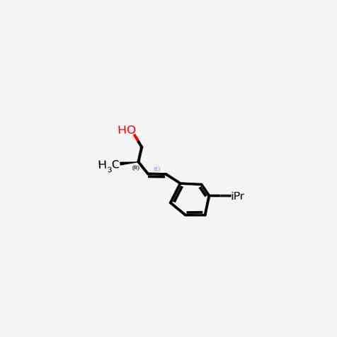 CC(C)c1cccc(/C=C/[C@@H](C)CO)c1